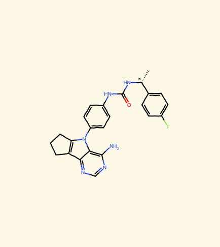 C[C@@H](NC(=O)Nc1ccc(-n2c3c(c4ncnc(N)c42)CCC3)cc1)c1ccc(F)cc1